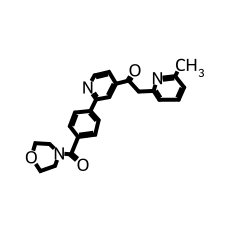 Cc1cccc(CC(=O)c2ccnc(-c3ccc(C(=O)N4CCOCC4)cc3)c2)n1